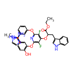 CCOC(=O)C(Cc1c[nH]c2ccccc12)Oc1c(F)c(Oc2cccc(-c3nccn3C)c2)nc(Oc2cc(C(=N)N)ccc2O)c1F